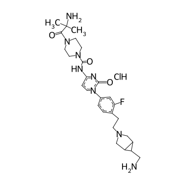 CC(C)(N)C(=O)N1CCN(C(=O)Nc2ccn(-c3ccc(CCN4CC5C(CN)C5C4)c(F)c3)c(=O)n2)CC1.Cl